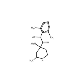 CNC1(C(=O)N(C(C)=O)c2c(C)cccc2C)CCNC(C)C1